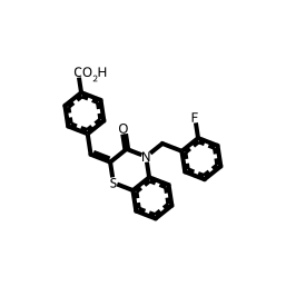 O=C(O)c1ccc(C=C2Sc3ccccc3N(Cc3ccccc3F)C2=O)cc1